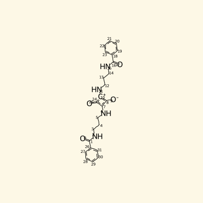 O=C(NCCCNc1c([O-])[c+](NCCCNC(=O)c2ccccc2)c1=O)c1ccccc1